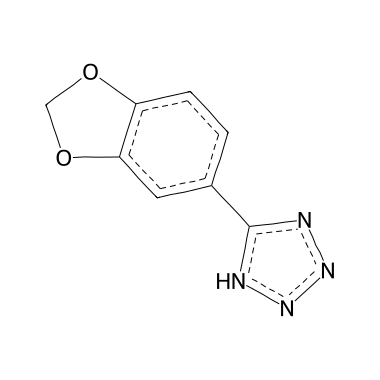 c1cc2c(cc1-c1nnn[nH]1)OCO2